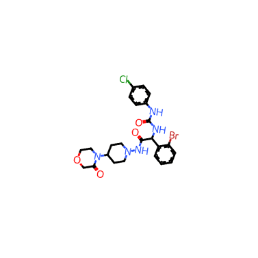 O=C(Nc1ccc(Cl)cc1)NC(C(=O)NN1CCC(N2CCOCC2=O)CC1)c1ccccc1Br